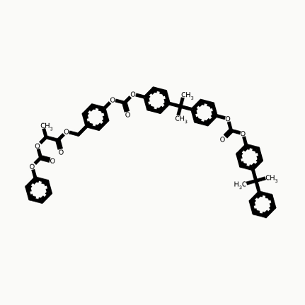 CC(OC(=O)Oc1ccccc1)C(=O)OCc1ccc(OC(=O)Oc2ccc(C(C)(C)c3ccc(OC(=O)Oc4ccc(C(C)(C)c5ccccc5)cc4)cc3)cc2)cc1